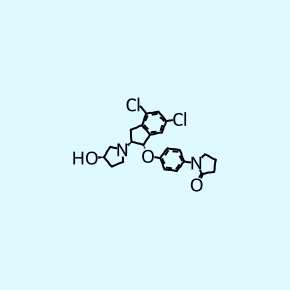 O=C1CCCN1c1ccc(O[C@H]2c3cc(Cl)cc(Cl)c3C[C@@H]2N2CC[C@@H](O)C2)cc1